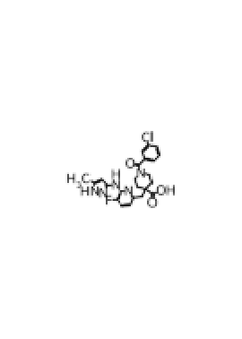 Cc1cc(Nc2nc(CC3(C(=O)O)CCN(C(=O)c4cccc(Cl)c4)CC3)ccc2F)n[nH]1